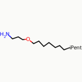 CCCC(C)CCCCCCCOCCCN